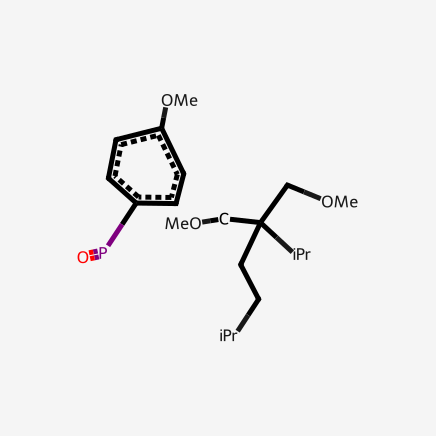 COCC(CCC(C)C)(COC)C(C)C.COc1ccc(P=O)cc1